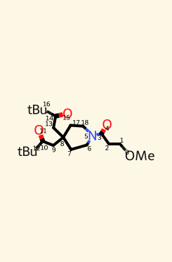 COCCC(=O)N1CCC(CC(=O)C(C)(C)C)(CC(=O)C(C)(C)C)CC1